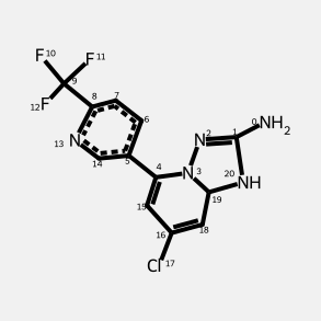 NC1=NN2C(c3ccc(C(F)(F)F)nc3)=CC(Cl)=CC2N1